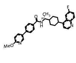 COc1ccc(-c2ccc(C(=O)N[C@H](C)C3CCC(c4ccnc5ccc(F)cc45)CC3)cc2)cn1